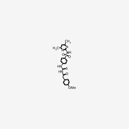 COc1ccc(CC(=O)NC(=S)Nc2ccc(S(=O)(=O)Nc3nc(C)cc(C)n3)cc2)cc1